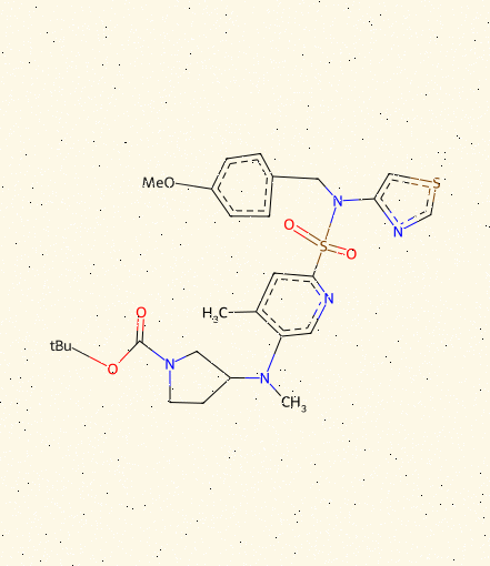 COc1ccc(CN(c2cscn2)S(=O)(=O)c2cc(C)c(N(C)C3CCN(C(=O)OC(C)(C)C)C3)cn2)cc1